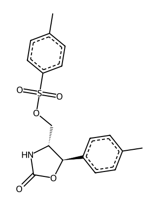 Cc1ccc([C@H]2OC(=O)N[C@@H]2COS(=O)(=O)c2ccc(C)cc2)cc1